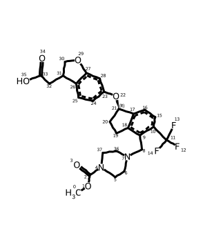 COC(=O)N1CCN(Cc2c(C(F)(F)F)ccc3c2CC[C@H]3Oc2ccc3c(c2)OCC3CC(=O)O)CC1